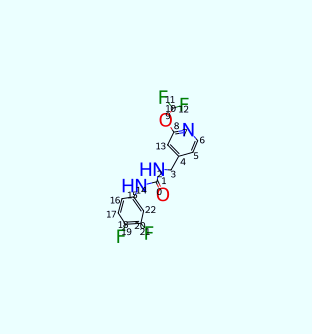 O=C(NCc1ccnc(OC(F)F)c1)Nc1ccc(F)c(F)c1